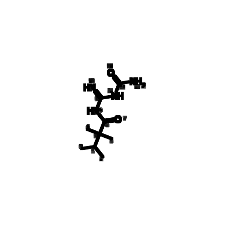 CC(C)C(C)(C)C(=O)NC(=N)NC(N)=O